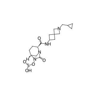 O=C(NC1CC2(C1)CN(CC1CC1)C2)[C@@H]1CC[C@@H]2CN1C(=O)N2OS(=O)O